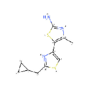 Cc1nc(N)sc1-c1csc(CC2CC2)n1